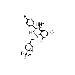 CNC(=O)C(N[C@@H](CCc1ccc(C(F)(F)F)nc1)c1ccc(OC)cc1F)c1ccc(F)cc1